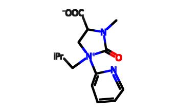 CC(C)C[N+]1(c2ccccn2)CC(C(=O)[O-])N(C)C1=O